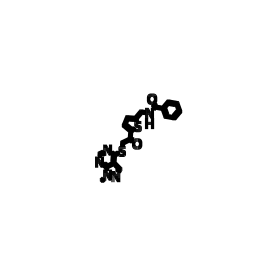 Cn1ncc2c(SCC(=O)c3ccc(CNC(=O)c4ccccc4)s3)ncnc21